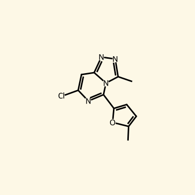 Cc1ccc(-c2nc(Cl)cc3nnc(C)n23)o1